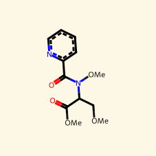 COCC(C(=O)OC)N(OC)C(=O)c1ccccn1